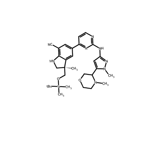 CN1CCOCC1c1cc(Nc2nccc(-c3cc(C#N)c4c(c3)[C@@](C)(CO[Si](C)(C)C(C)(C)C)CN4)n2)nn1C